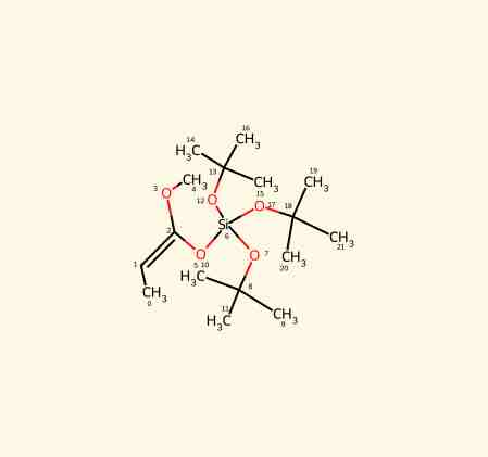 CC=C(OC)O[Si](OC(C)(C)C)(OC(C)(C)C)OC(C)(C)C